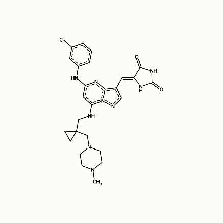 CN1CCN(CC2(CNc3cc(Nc4cccc(Cl)c4)nc4c(/C=C5\NC(=O)NC5=O)cnn34)CC2)CC1